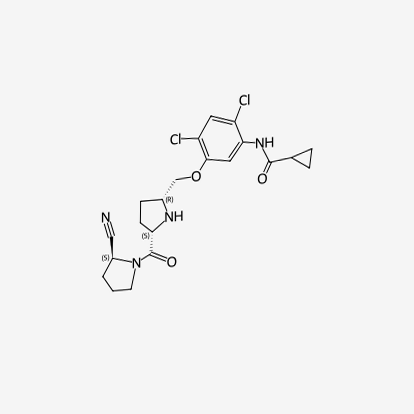 N#C[C@@H]1CCCN1C(=O)[C@@H]1CC[C@H](COc2cc(NC(=O)C3CC3)c(Cl)cc2Cl)N1